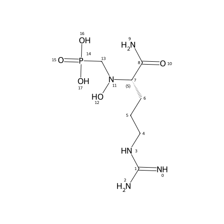 N=C(N)NCCC[C@@H](C(N)=O)N(O)CP(=O)(O)O